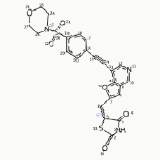 O=C1NC(=O)/C(=C\c2cc3cncc(C#Cc4ccc(S(=O)(=O)N5CCOCC5)cc4)c3o2)S1